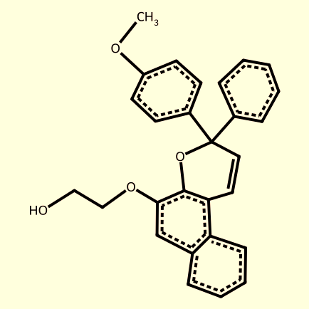 COc1ccc(C2(c3ccccc3)C=Cc3c(c(OCCO)cc4ccccc34)O2)cc1